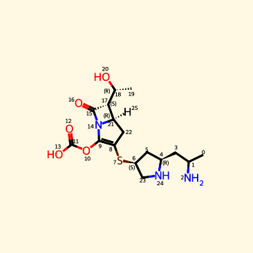 CC(N)C[C@@H]1C[C@H](SC2=C(OC(=O)O)N3C(=O)[C@H]([C@@H](C)O)[C@H]3C2)CN1